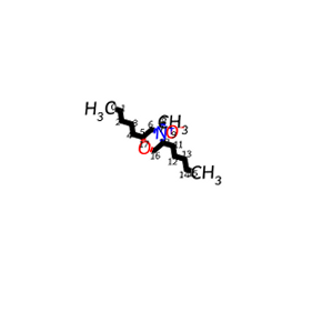 CCCCCC1C[N+](C)([O-])C(CCCCC)CO1